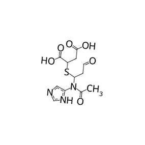 CC(=O)N(c1cnc[nH]1)C(CC=O)SC(CC(=O)O)C(=O)O